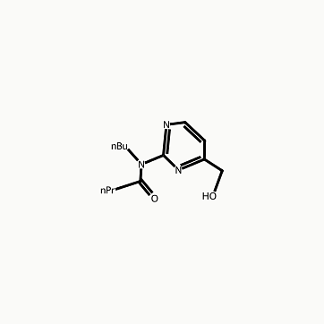 CCCCN(C(=O)CCC)c1nccc(CO)n1